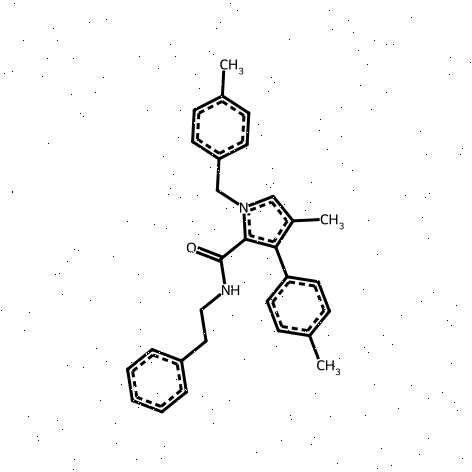 Cc1ccc(Cn2cc(C)c(-c3ccc(C)cc3)c2C(=O)NCCc2ccccc2)cc1